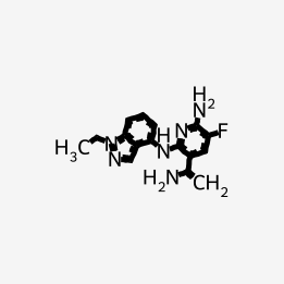 C=C(N)c1cc(F)c(N)nc1Nc1cccc2c1cnn2CC